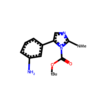 CNc1ncc(-c2cccc(N)c2)n1C(=O)OC(C)(C)C